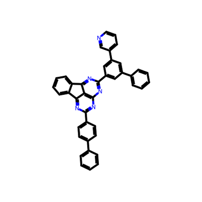 c1ccc(-c2ccc(-c3nc4c5c(nc(-c6cc(-c7ccccc7)cc(-c7cccnc7)c6)nc5n3)-c3ccccc3-4)cc2)cc1